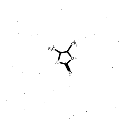 O=C1OC(C(F)(F)F)C(C(F)(F)F)O1